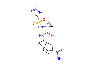 Cn1nccc1S(=O)(=O)NC1(C(=O)NC2C3CC4CC2CC(C(N)=O)(C4)C3)CC1